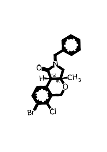 C[C@]12CN(Cc3ccccc3)C(=O)[C@H]1c1ccc(Br)c(Cl)c1CO2